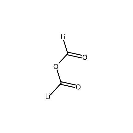 [Li][C](=O)O[C]([Li])=O